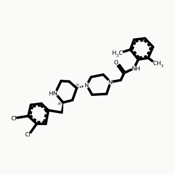 Cc1cccc(C)c1NC(=O)CN1CCN([C@H]2CCN[C@H](Cc3ccc(Cl)c(Cl)c3)C2)CC1